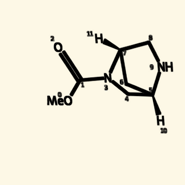 COC(=O)N1C[C@@H]2C[C@H]1CN2